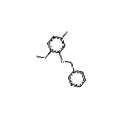 CCc1ccc(C)cc1OCc1ccccc1